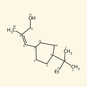 CCC(C)(C)C1CCC(C=C(C)CO)CC1